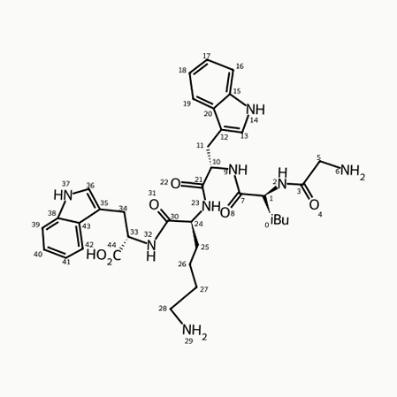 CC[C@H](C)[C@H](NC(=O)CN)C(=O)N[C@@H](Cc1c[nH]c2ccccc12)C(=O)N[C@@H](CCCCN)C(=O)N[C@@H](Cc1c[nH]c2ccccc12)C(=O)O